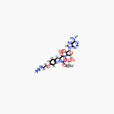 CN(C)c1ncnc2c1ncn2[C@@H]1O[C@H](CO)C(NC(=O)[C@H](Cc2ccc(OCCN=[N+]=[N-])cc2)NC(=O)OC(C)(C)C)[C@@H]1O